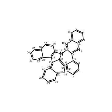 c1ccc(-c2nc3ccccc3nc2-n2c3ccc4ccccc4c3c3c4ccccc4ccc32)cc1